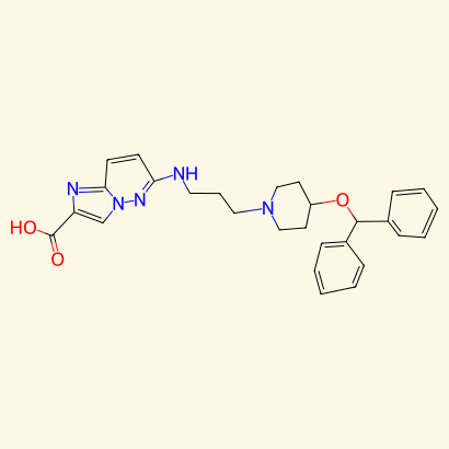 O=C(O)c1cn2nc(NCCCN3CCC(OC(c4ccccc4)c4ccccc4)CC3)ccc2n1